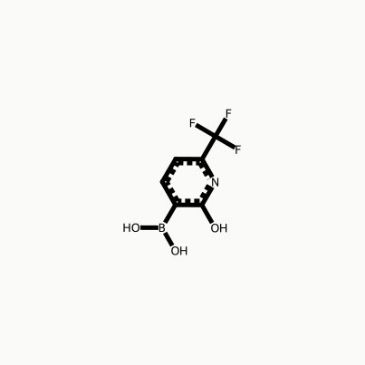 OB(O)c1ccc(C(F)(F)F)nc1O